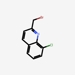 Clc1cccc2ccc(CBr)nc12